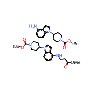 CC(C)(C)OC(=O)N1CCC(n2ccc3c(N)cccc32)CC1.COC(=O)CCNc1cccc2c1ccn2C1CCN(C(=O)OC(C)(C)C)CC1